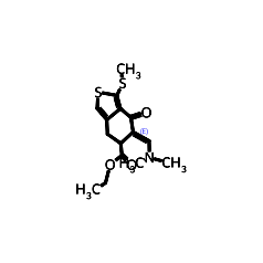 CCOC(=O)C1Cc2csc(SC)c2C(=O)/C1=C/N(C)C